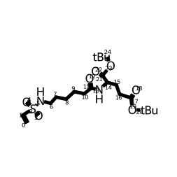 C=CS(=O)(=O)NCCCCCC(=O)NC(CCC(=O)OC(C)(C)C)C(=O)OC(C)(C)C